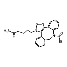 BBCCCCn1nnc2c1-c1ccccc1CN(C(=O)CC)c1ccccc1-2